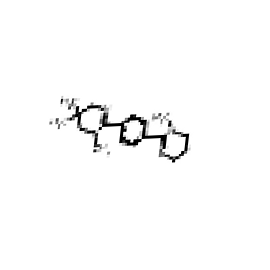 CN1CCCN=C1c1ccc(C2=NCC(C)(C)CN2C)cc1